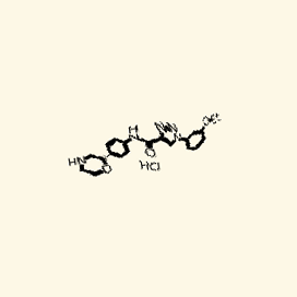 CCOc1cccc(-n2cc(C(=O)Nc3ccc([C@H]4CNCCO4)cc3)nn2)c1.Cl